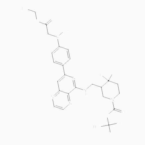 CCOC(=O)CN(C)c1ccc(-c2cc3nccnc3c(NCC3CN(C(=O)OC(C)(C)C)CCC3(F)F)n2)cc1